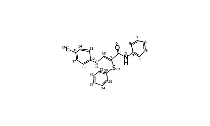 O=C(Nc1ccccc1)C(=CSc1ccc(F)cc1)Sc1ccccc1